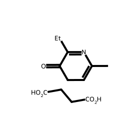 CCC1=NC(C)=CCC1=O.O=C(O)CCC(=O)O